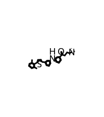 Cc1cccc(C)c1-c1ccc(-c2cccc(Nc3cccc(C(=O)CCCN(C)C)c3)c2)s1